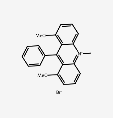 COc1cccc2c1c(-c1ccccc1)c1c(OC)cccc1[n+]2C.[Br-]